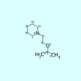 C=C(C)OCCN1CCCCC1